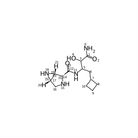 NC(=O)C(O)C(CC1CCC1)NC(=O)[C@H]1NC[C@@H]2N[C@@H]21